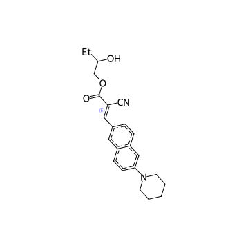 CCC(O)COC(=O)/C(C#N)=C/c1ccc2cc(N3CCCCC3)ccc2c1